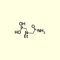 CCN(CC(N)=O)CP(O)O